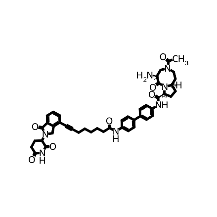 CC(=O)N1CC[C@H]2CC[C@@H](C(=O)Nc3ccc(-c4ccc(NC(=O)CCCCCC#Cc5cccc6c5CN(C5CCC(=O)NC5=O)C6=O)cc4)cc3)N2C(=O)[C@@H](N)C1